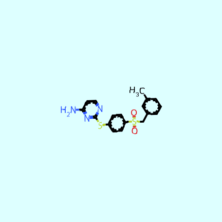 Cc1cccc(CS(=O)(=O)c2ccc(Sc3nccc(N)n3)cc2)c1